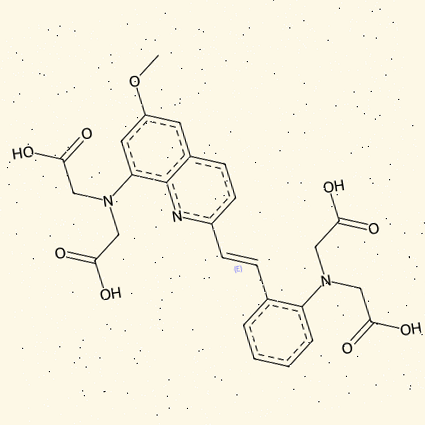 COc1cc(N(CC(=O)O)CC(=O)O)c2nc(/C=C/c3ccccc3N(CC(=O)O)CC(=O)O)ccc2c1